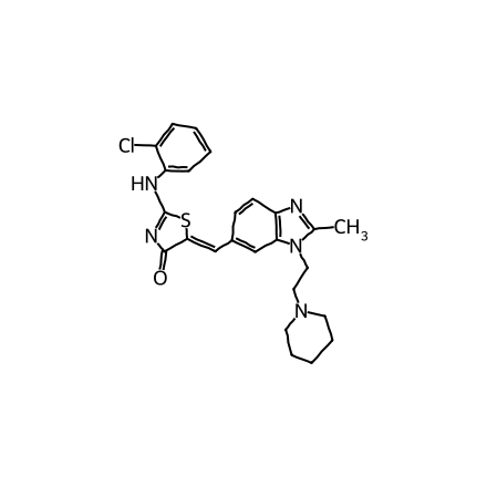 Cc1nc2ccc(/C=C3\SC(Nc4ccccc4Cl)=NC3=O)cc2n1CCN1CCCCC1